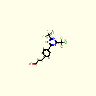 O=[C]C=Cc1ccc(-c2nc(C(Cl)(Cl)Cl)nc(C(Cl)(Cl)Cl)n2)cc1